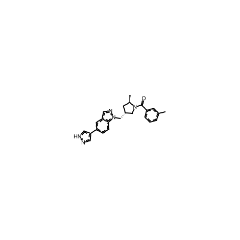 Cc1cccc(C(=O)N2C[C@H](Cn3ncc4cc(-c5cn[nH]c5)ccc43)C[C@H]2C)c1